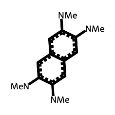 CNc1cc2cc(NC)c(NC)cc2cc1NC